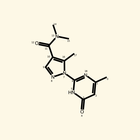 Cc1cc(=O)[nH]c(-n2ncc(C(=O)N(C)C)c2C)n1